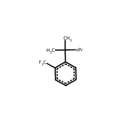 CCCC(C)(C)c1ccccc1C(F)(F)F